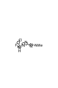 CNCCn1cc(-c2cnc3ccc(-c4c[nH]nc4-c4cc(Cl)ccc4F)nc3c2)cn1